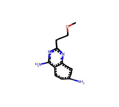 COCCc1nc(N)c2ccc(N)cc2n1